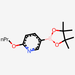 CCCOc1ccc(B2OC(C)(C)C(C)(C)O2)cn1